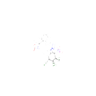 CC1(C)OC(=O)N(C2CCC(Nc3cc(F)c(Br)c(F)c3[N+](=O)[O-])CC2)[C@H]1c1ccccc1